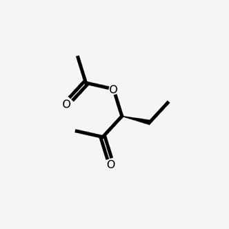 CC[C@H](OC(C)=O)C(C)=O